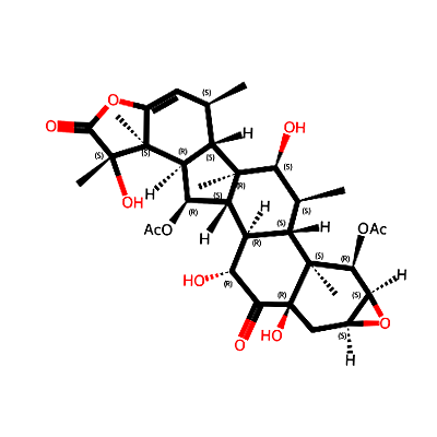 CC(=O)O[C@@H]1[C@H]2[C@H]3[C@H]([C@H](C)[C@H](O)[C@]2(C)[C@@H]2[C@@H]1[C@]1(C)C(=C[C@H]2C)OC(=O)[C@@]1(C)O)[C@@]1(C)[C@@H](OC(C)=O)[C@H]2O[C@H]2C[C@]1(O)C(=O)[C@@H]3O